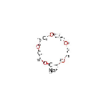 C1COCCOCCOCCOCCO1.[Na+]